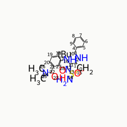 C=C(N[C@@H](c1ccccc1)C(C)(C)C)/C(=N\[S+](N)[O-])Nc1cccc(C(=O)N(C)C)c1O